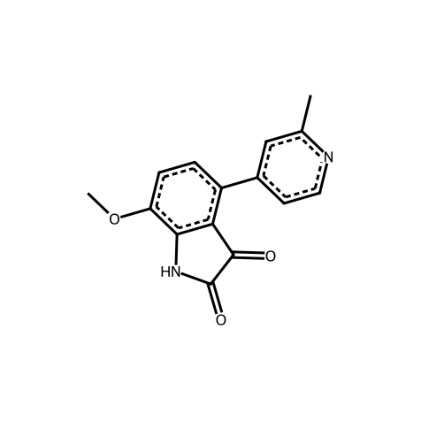 COc1ccc(-c2ccnc(C)c2)c2c1NC(=O)C2=O